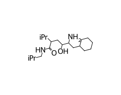 CC(C)CNC(=O)C(CC(O)C(N)CC1CCCCC1)C(C)C